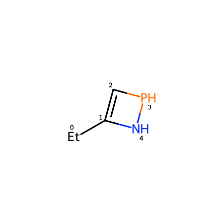 CCc1c[pH][nH]1